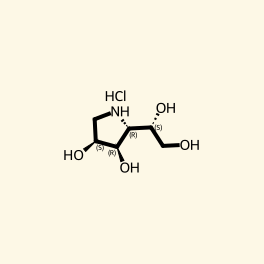 Cl.OC[C@@H](O)[C@H]1NC[C@H](O)[C@@H]1O